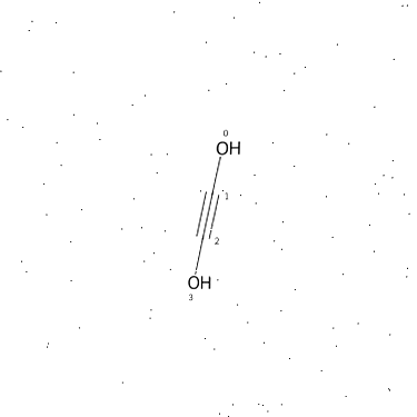 OC#CO